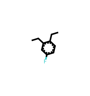 CCc1ccc(F)cc1CC